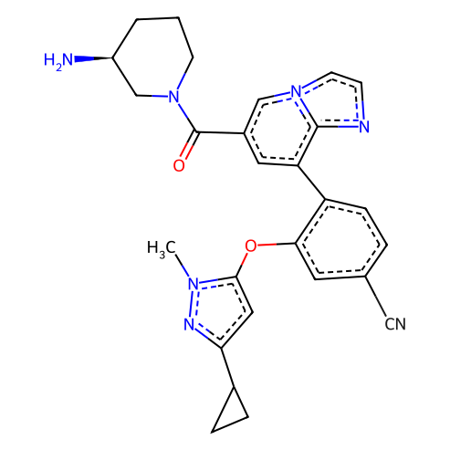 Cn1nc(C2CC2)cc1Oc1cc(C#N)ccc1-c1cc(C(=O)N2CCC[C@H](N)C2)cn2ccnc12